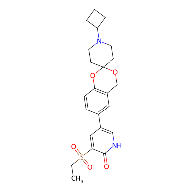 CCS(=O)(=O)c1cc(-c2ccc3c(c2)COC2(CCN(C4CCC4)CC2)O3)c[nH]c1=O